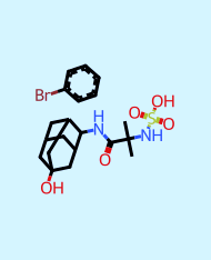 Brc1ccccc1.CC(C)(NS(=O)(=O)O)C(=O)NC1C2CC3CC1CC(O)(C3)C2